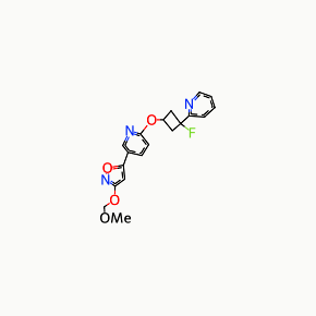 COCOc1cc(-c2ccc(OC3CC(F)(c4ccccn4)C3)nc2)on1